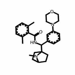 Cc1cccc(C)c1C(=O)NC(c1cccc(N2CCOCC2)c1)C12CCC(CC1)N2C